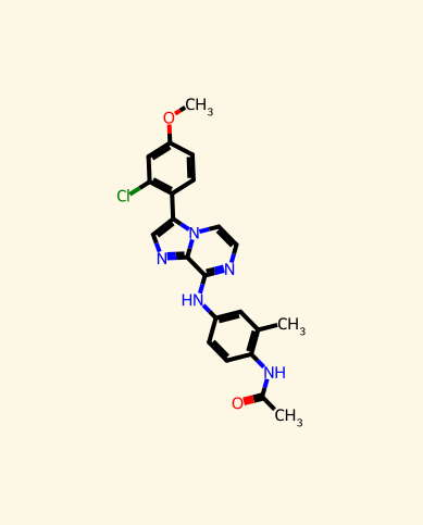 COc1ccc(-c2cnc3c(Nc4ccc(NC(C)=O)c(C)c4)nccn23)c(Cl)c1